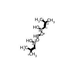 CC(C)=CB(O)OBOB(O)C=C(C)C